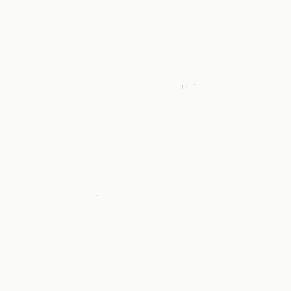 CCCCCCC/C=C\Br